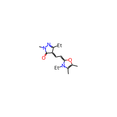 CCC1=NN(C)C(=O)/C1=C/C=C1/OC(C)=C(C)N1CC